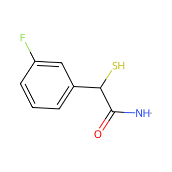 [NH]C(=O)C(S)c1cccc(F)c1